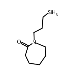 O=C1CCCCCN1CCC[SiH3]